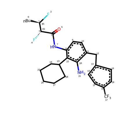 CCCC[C@@H](F)[C@@H](F)C(=O)Nc1ccc(Cc2ccc(C(F)(F)F)cc2)c(N)c1C1CCCCC1